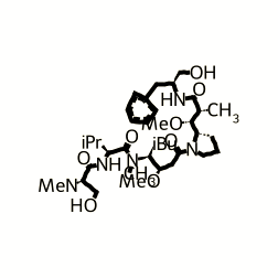 CC[C@H](C)[C@@H]([C@@H](CC(=O)N1CCC[C@H]1[C@H](OC)[C@@H](C)C(=O)N[C@H](CO)Cc1ccccc1)OC)N(C)C(=O)[C@@H](NC(=O)[C@H](CO)NC)C(C)C